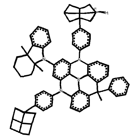 CC1(c2ccccc2)c2cccc3c2B2c4c(cc(N5c6ccccc6C6(C)CCCCC56C)cc4N(c4ccc(C56CC7CC8CC(C5)C876)cc4)c4cccc1c42)N3c1ccc(C23CC4CC2C[C@@H]4C3)cc1